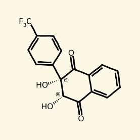 O=C1c2ccccc2C(=O)[C@](O)(c2ccc(C(F)(F)F)cc2)[C@H]1O